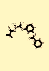 C=C(C)C(=O)ON(CC)C(=O)Oc1cccc(OC(=O)c2ccccc2)c1